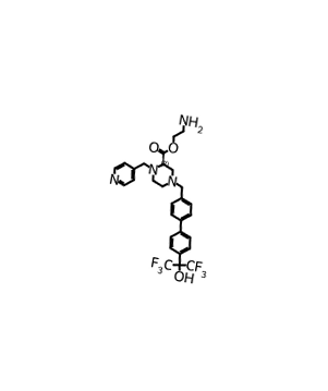 NCCOC(=O)[C@H]1CN(Cc2ccc(-c3ccc(C(O)(C(F)(F)F)C(F)(F)F)cc3)cc2)CCN1Cc1ccncc1